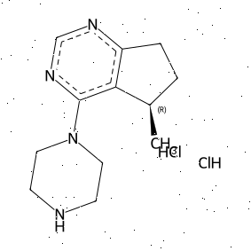 C[C@@H]1CCc2ncnc(N3CCNCC3)c21.Cl.Cl